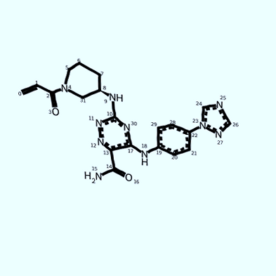 C=CC(=O)N1CCC[C@@H](Nc2nnc(C(N)=O)c(Nc3ccc(-n4cncn4)cc3)n2)C1